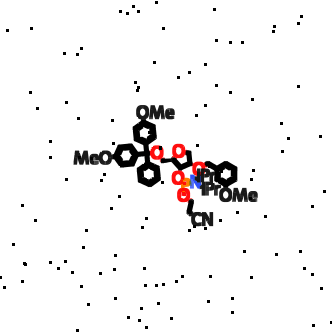 COc1ccc(C(OC[C@H]2OC[C@H](OCc3cccc(OC)c3)[C@@H]2OP(OCCC#N)N(C(C)C)C(C)C)(c2ccccc2)c2ccc(OC)cc2)cc1